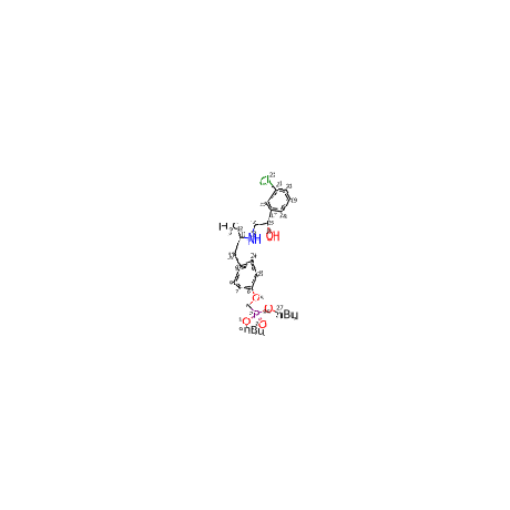 CCCCOP(=O)(COc1ccc(CC(C)NCC(O)c2cccc(Cl)c2)cc1)OCCCC